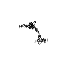 Cc1nn2c(N3CCN(CCO)CC3)cc(C3CCN(CCCCCN4CCN(c5cc(F)cc6c5CN(C5CCC(=O)NC5=O)C6=O)CC4)CC3)nc2c1-c1ccccc1